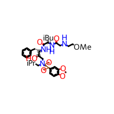 CCC(C)[C@H](NC(=O)CNCCOC)C(=O)N[C@@H](Cc1ccccc1)[C@H](O)CN(CC(C)C)S(=O)(=O)c1ccc2c(c1)OCO2